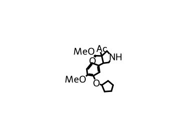 COC(=O)C1(C(C)=O)CNCC1c1ccc(OC)c(OC2CCCC2)c1